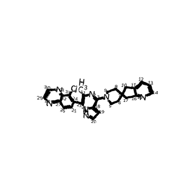 Cc1nc(N2CCC3(CC2)Cc2cccnc2C3)c2ccnn2c1-c1ccc2nccnc2c1Cl